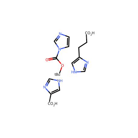 CC(C)(C)OC(=O)n1ccnc1.O=C(O)CCc1c[nH]cn1.O=C(O)c1c[nH]cn1